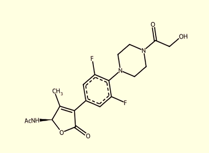 CC(=O)N[C@@H]1OC(=O)C(c2cc(F)c(N3CCN(C(=O)CO)CC3)c(F)c2)=C1C